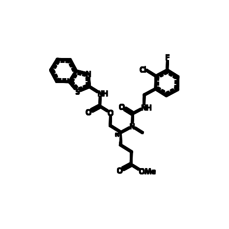 COC(=O)CC[C@@H](COC(=O)Nc1nc2ccccc2s1)N(C)C(=O)NCc1cccc(F)c1Cl